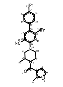 Cc1occc1C(=O)N1CCN(c2nc(C(C)C)c(-c3ccc(C(C)C)cc3)cc2C#N)CC1C